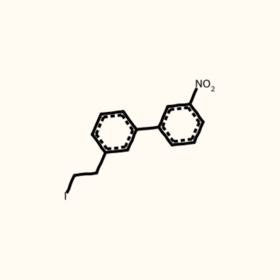 O=[N+]([O-])c1cccc(-c2cccc(CCI)c2)c1